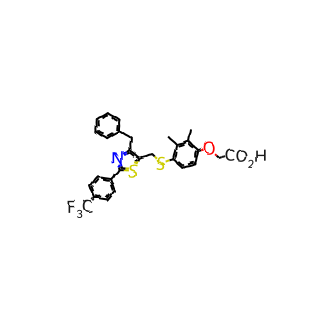 Cc1c(OCC(=O)O)ccc(SCc2sc(-c3ccc(C(F)(F)F)cc3)nc2Cc2ccccc2)c1C